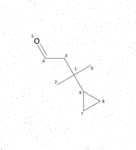 CC(C)(CC=O)C1CC1